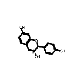 Oc1ccc(C2Oc3cc(O)ccc3C[C@@H]2O)cc1